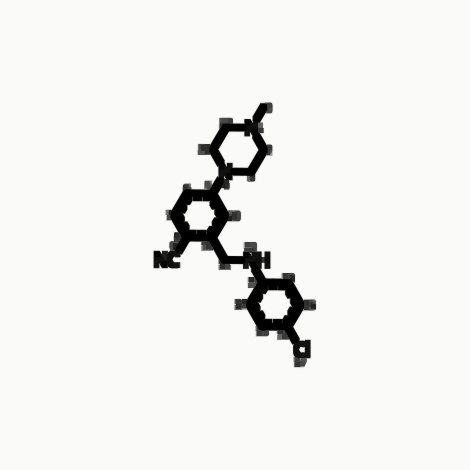 CN1CCN(c2ccc(C#N)c(CNc3ccc(Cl)cc3)c2)CC1